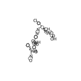 C[C@@]1(CN2CCN(C(=O)CC(=O)O)CC2)CCC(c2ccc(Cl)cc2)=C(CN2CCN(c3ccc(C(=O)NS(=O)(=O)c4ccc(NC(CCN5CCCOCC5)CSc5ccccc5)c(C=O)c4)cc3)CC2)C1